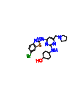 OC1CCC(Nc2nc(CN3CCCC3)cc(Nc3nc4ccc(Br)cc4s3)n2)CC1